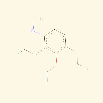 O=C(O)Nc1ccc(OCF)c(OCF)c1OCF